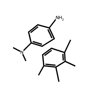 CN(C)c1ccc(N)cc1.Cc1ccc(C)c(C)c1C